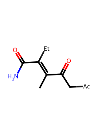 CCC(C(N)=O)=C(C)C(=O)CC(C)=O